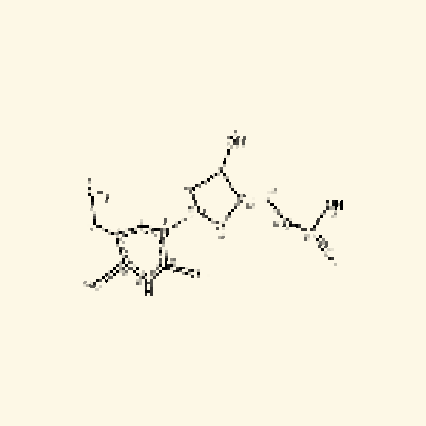 CCc1cn([C@@H]2CC(O)[C@H](CO[PH](=O)O)O2)c(=O)[nH]c1=O